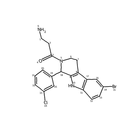 NCCC(=O)N1CCc2c([nH]c3ccc(Br)cc23)C1c1cccc(Cl)c1